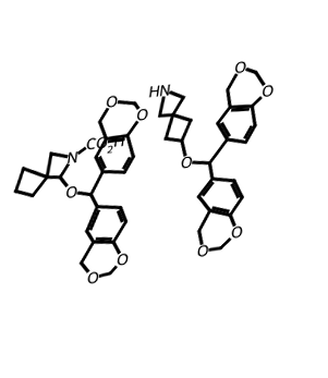 O=C(O)N1CC2(CCC2)C1OC(c1ccc2c(c1)COCO2)c1ccc2c(c1)COCO2.c1cc2c(cc1C(OC1CC3(CNC3)C1)c1ccc3c(c1)COCO3)COCO2